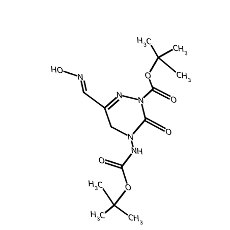 CC(C)(C)OC(=O)NN1CC(C=NO)=NN(C(=O)OC(C)(C)C)C1=O